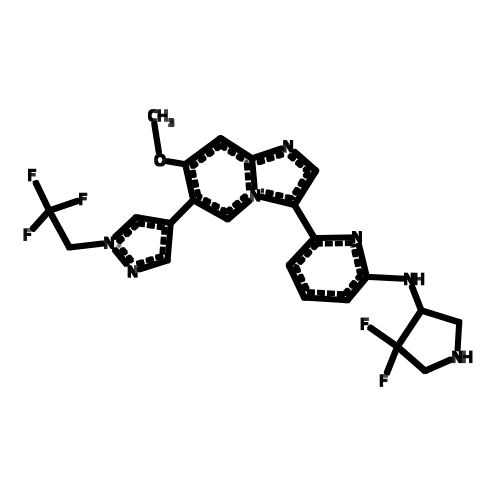 COc1cc2ncc(-c3cccc(NC4CNCC4(F)F)n3)n2cc1-c1cnn(CC(F)(F)F)c1